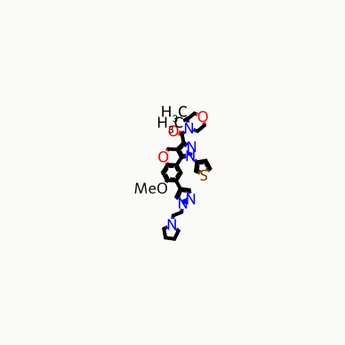 COc1cc2c(cc1-c1cnn(CCN3CCCC3)c1)-c1c(c(C(=O)N3CCOCC3(C)C)nn1-c1ccsc1)CO2